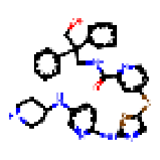 O=C(NCC(CO)(c1ccccc1)c1ccccc1)c1cc(Sc2cnc(Nc3ccc(NC4CCNCC4)cn3)s2)ccn1